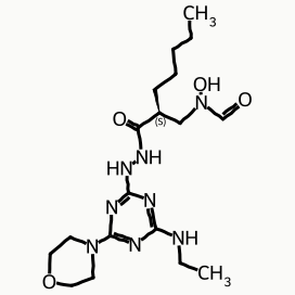 CCCCC[C@@H](CN(O)C=O)C(=O)NNc1nc(NCC)nc(N2CCOCC2)n1